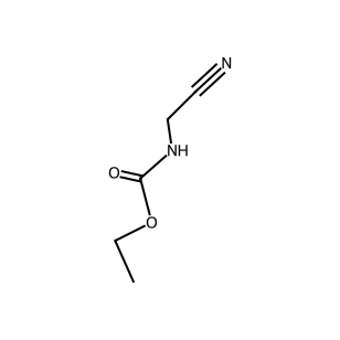 CCOC(=O)NCC#N